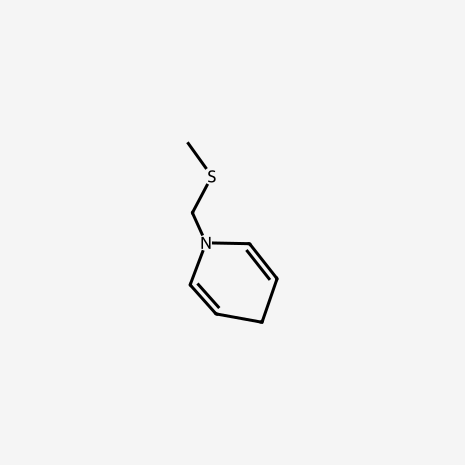 CSCN1C=CCC=C1